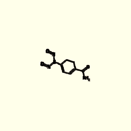 NC(=O)C1=CC=C(B(N=O)N=O)CC1